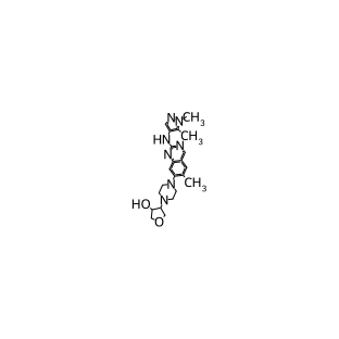 Cc1cc2cnc(Nc3cnn(C)c3C)nc2cc1N1CCN(C2COCC2O)CC1